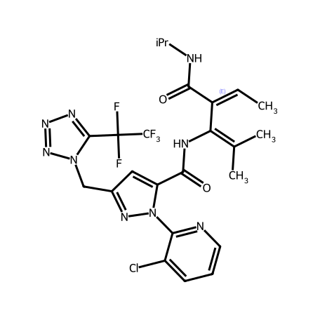 C/C=C(/C(=O)NC(C)C)C(NC(=O)c1cc(Cn2nnnc2C(F)(F)C(F)(F)F)nn1-c1ncccc1Cl)=C(C)C